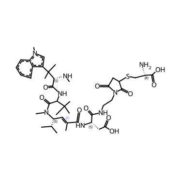 CN[C@H](C(=O)NC(C(=O)N(C)[C@H](/C=C(\C)C(=O)N[C@@H](CC(=O)O)C(=O)NCCN1C(=O)CC(SC[C@H](N)C(=O)O)C1=O)C(C)C)C(C)(C)C)C(C)(C)c1cn(C)c2ccccc12